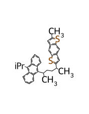 Cc1cc2cc3sc(C(C)CCC(C)c4c5ccccc5c(C(C)C)c5ccccc45)cc3cc2s1